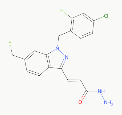 NNC(=O)/C=C/c1nn(Cc2ccc(Cl)cc2F)c2cc(CF)ccc12